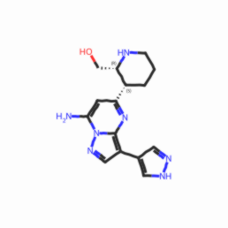 Nc1cc([C@H]2CCCN[C@H]2CO)nc2c(-c3cn[nH]c3)cnn12